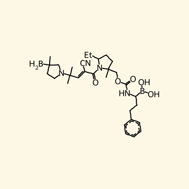 BC1(C)CCN(C(C)(C)/C=C(\C#N)C(=O)N2C(CC)CCC2(C)COC(=O)NC(CCc2ccccc2)B(O)O)C1